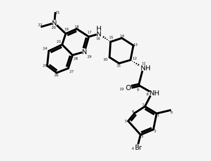 Cc1cc(Br)ccc1NC(=O)N[C@H]1CC[C@@H](Nc2cc(N(C)C)c3ccccc3n2)CC1